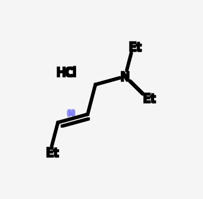 CC/C=C/CN(CC)CC.Cl